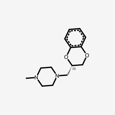 CN1CCN(C[C@H]2COc3ccccc3O2)CC1